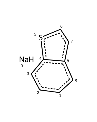 [NaH].c1ccc2sccc2c1